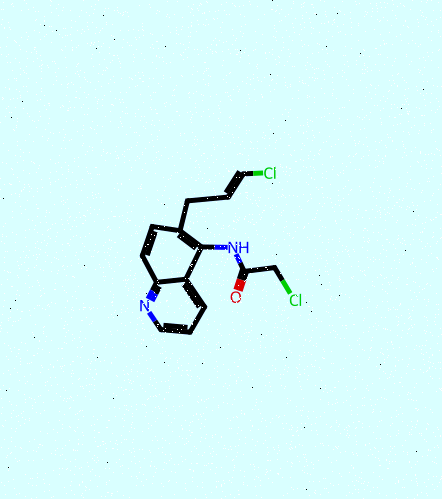 O=C(CCl)Nc1c(CC=CCl)ccc2ncccc12